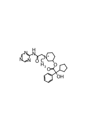 C[N@@+]1(CC(=O)Nc2ncncn2)CCCC(OC(=O)C(O)(c2ccccc2)C2CCCC2)C1